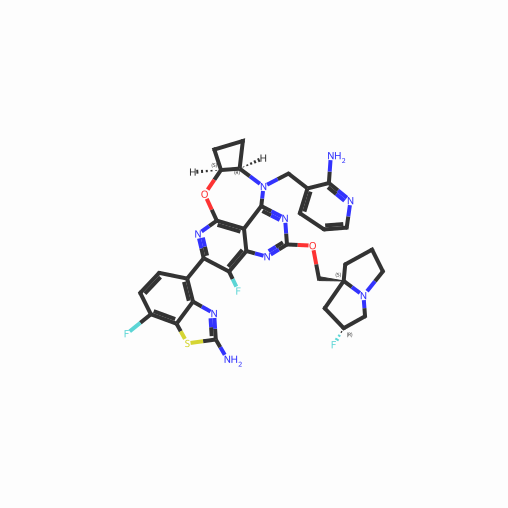 Nc1nc2c(-c3nc4c5c(nc(OC[C@@]67CCCN6C[C@H](F)C7)nc5c3F)N(Cc3cccnc3N)[C@@H]3CC[C@@H]3O4)ccc(F)c2s1